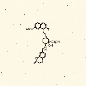 COc1ccc2ncc(F)c(CCN3CC[C@H](NCc4ccc5c(n4)NC(=O)CS5)[C@](C)(O)C3)c2n1.Cl.Cl